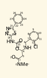 C[N]C(=O)CC(NCc1ccccc1Cl)OC(=O)Nc1nnc(-c2ccccc2)s1